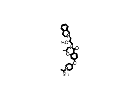 CC(S)N1CCC(Oc2ccc3c(c2)O[C@@H](C)CN(C[C@H](O)CN2CCc4ccccc4C2)C3=O)CC1